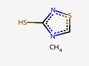 C.Sc1ncsn1